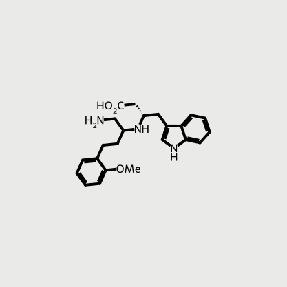 COc1ccccc1CCC(CN)N[C@H](CC(=O)O)Cc1c[nH]c2ccccc12